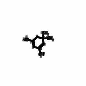 CC1(C)C=C(O)C=C(O)C1